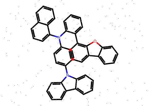 c1ccc(N(c2ccc(-n3c4ccccc4c4ccccc43)cc2)c2cccc3ccccc23)c(-c2cccc3c2oc2ccccc23)c1